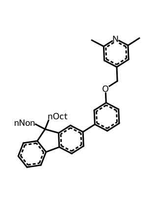 CCCCCCCCCC1(CCCCCCCC)c2ccccc2-c2ccc(-c3cccc(OCc4cc(C)nc(C)c4)c3)cc21